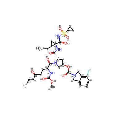 C=CC1C[C@]1(NC(=O)[C@@H]1C[C@@H](OC(=O)N2Cc3cccc(F)c3C2)CN1C(=O)[C@H](CCC(=O)/C=C/C(C)C)NC(=O)OC(C)(C)C)C(=O)NS(=O)(=O)C1CC1